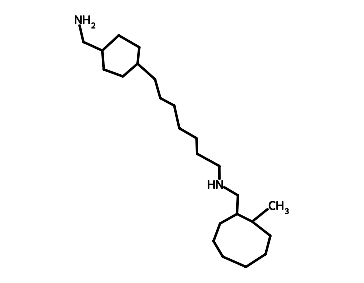 CC1CCCCCCC1CNCCCCCCCC1CCC(CN)CC1